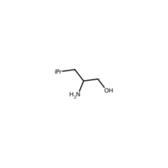 CC(C)CC(N)[CH]O